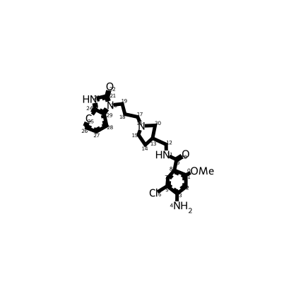 COc1cc(N)c(Cl)cc1C(=O)NCC1CCN(CCCn2c(=O)[nH]c3ccccc32)C1